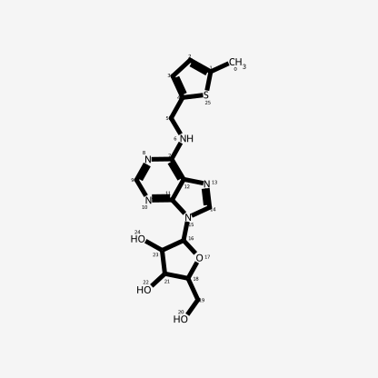 Cc1ccc(CNc2ncnc3c2ncn3C2OC(CO)C(O)C2O)s1